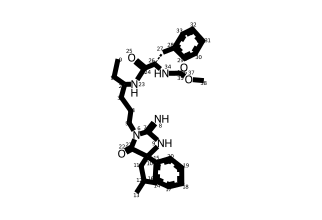 CCC(CCCN1C(=N)NC(CC(C)C)(c2ccccc2)C1=O)NC(=O)[C@H](Cc1ccccc1)NC(=O)OC